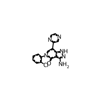 Nc1n[nH]c2c(-c3cnccn3)cn(-c3ccccc3Cl)c(=O)c12